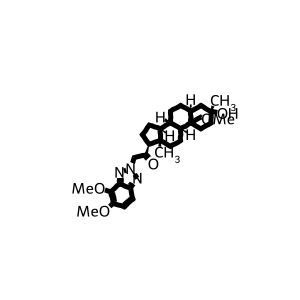 COCC12CC[C@@](C)(O)C[C@@H]1CC[C@@H]1[C@@H]2CC[C@]2(C)[C@@H](C(=O)Cn3nc4ccc(OC)c(OC)c4n3)CC[C@@H]12